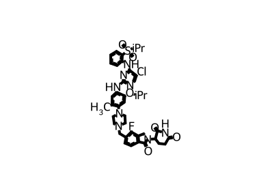 Cc1cc(Nc2ncc(Cl)c(Nc3ccccc3S(=O)(=O)C(C)C)n2)c(OC(C)C)cc1N1CCN(Cc2ccc3c(c2F)CN(C2CCC(=O)NC2=O)C3=O)CC1